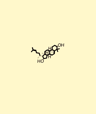 CC(C)=CCC[C@@H](C)[C@H]1[C@@H](O)C[C@H]2[C@@H]3CC=C4C(C)(C)[C@H](O)CC[C@]4(C)[C@H]3CC[C@]12C